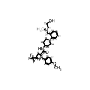 COc1ccc(-n2nc(C(F)(F)F)cc2C(=O)NC2CCN(c3ccccc3CN(C)CCO)CC2)cc1